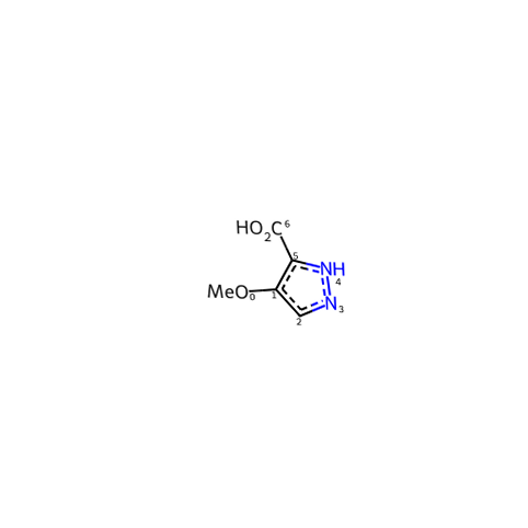 COc1cn[nH]c1C(=O)O